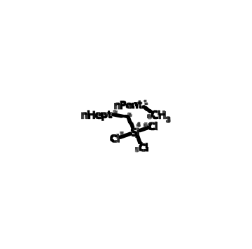 CCCCCC.CCCCCCCC[Si](Cl)(Cl)Cl